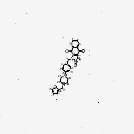 O=C1c2cccnc2C(=O)c2c1n[n+]([O-])n2Cc1ccc(N2CCN(Cc3ccco3)CC2)cc1